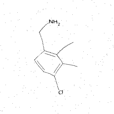 Cc1c(Cl)ccc(CN)c1C